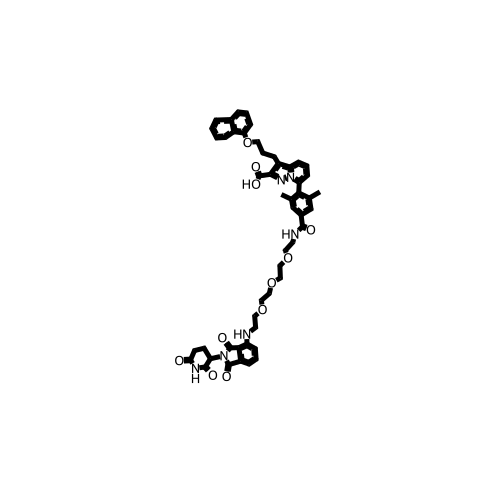 Cc1cc(C(=O)NCCOCCOCCOCCNc2cccc3c2C(=O)N(C2CCC(=O)NC2=O)C3=O)cc(C)c1-c1cccc2c(CCCOc3cccc4ccccc34)c(C(=O)O)nn12